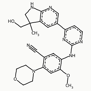 COc1cc(N2CCOCC2)c(C#N)cc1Nc1nccc(-c2cnc3c(c2)C(C)(CO)CN3)n1